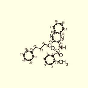 Cc1ccccc1S(=O)(=O)Nc1nc2ccccc2nc1OCCCc1ccccc1